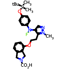 Cn1ncc(N(F)c2ccc(O[Si](C)(C)C(C)(C)C)cc2)c1CCOc1cccc2c1CN(C(=O)O)C2